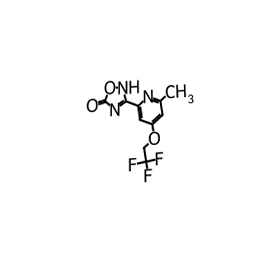 Cc1cc(OCC(F)(F)F)cc(-c2nc(=O)o[nH]2)n1